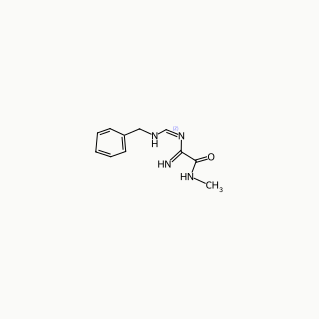 CNC(=O)C(=N)/N=C\NCc1ccccc1